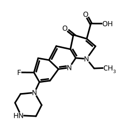 CCn1cc(C(=O)O)c(=O)c2cc3cc(F)c(N4CCNCC4)cc3nc21